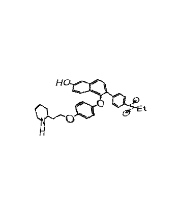 CCS(=O)(=O)c1ccc(-c2ccc3cc(O)ccc3c2Oc2ccc(OCCC3CCCCN3)cc2)cc1